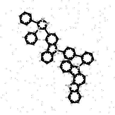 c1ccc(-c2nnc(-c3ccc4c(c3)c3ccccc3n4-c3ccc(-c4ccccc4-n4c5ccccc5c5c6oc7ccccc7c6ccc54)cc3)n2-c2ccccc2)cc1